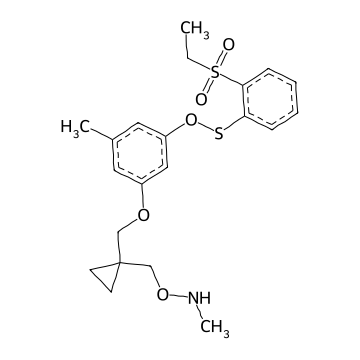 CCS(=O)(=O)c1ccccc1SOc1cc(C)cc(OCC2(CONC)CC2)c1